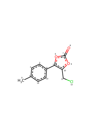 Cc1ccc(-c2oc(=O)oc2CCl)cc1